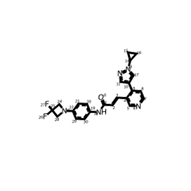 O=C(C=Cc1cnccc1-c1cnn(C2CC2)c1)Nc1ccc(N2CC(F)(F)C2)cc1